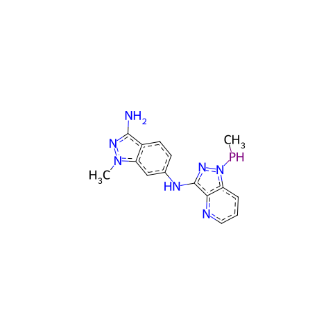 CPn1nc(Nc2ccc3c(N)nn(C)c3c2)c2ncccc21